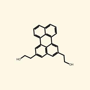 OCCc1cc2cc(CCO)cc3c4cccc5cccc(c(c1)c23)c54